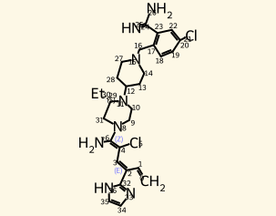 C=C/C(=C\C(Cl)=C(/N)N1CCN(C2CCN(Cc3ccc(Cl)cc3C(=N)N)CC2)[C@@H](CC)C1)c1ncc[nH]1